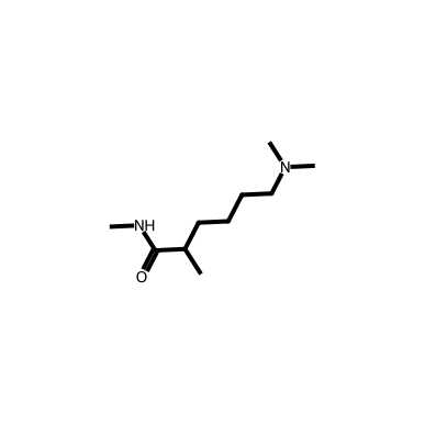 CNC(=O)C(C)CCCCN(C)C